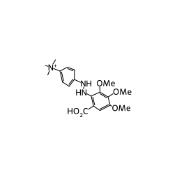 COc1cc(C(=O)O)c(NNc2ccc([N+](C)(C)C)cc2)c(OC)c1OC